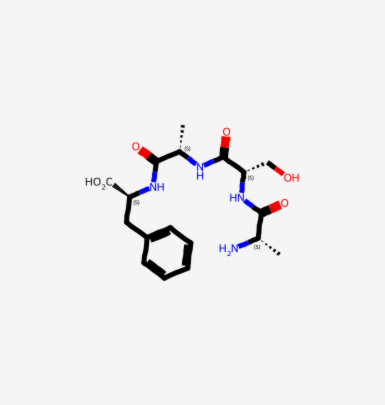 C[C@H](N)C(=O)N[C@@H](CO)C(=O)N[C@@H](C)C(=O)N[C@@H](Cc1ccccc1)C(=O)O